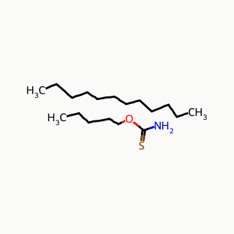 CCCCCCCCCCCC.CCCCCOC(N)=S